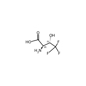 N[C@@H](C(=O)O)[C@H](O)C(F)(F)F